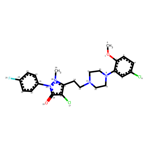 COc1ccc(Cl)cc1N1CCN(CCc2c(Cl)c(=O)n(-c3ccc(F)cc3)n2C)CC1